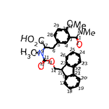 CNC(=O)c1cc(CC(C(=O)O)N(C)C(=O)OCC2c3ccccc3-c3ccccc32)ccc1OC